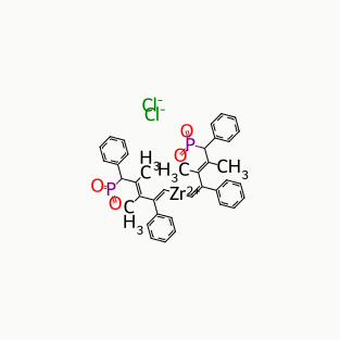 CC(C(=[CH][Zr+2][CH]=C(C(C)=C(C)C(c1ccccc1)P(=O)=O)c1ccccc1)c1ccccc1)=C(C)C(c1ccccc1)P(=O)=O.[Cl-].[Cl-]